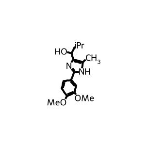 COc1ccc(-c2nc(C(O)C(C)C)c(C)[nH]2)cc1OC